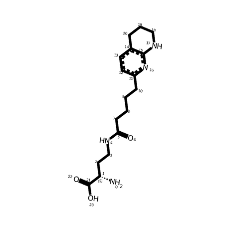 N[C@@H](CCNC(=O)CCCCc1ccc2c(n1)NCCC2)C(=O)O